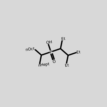 CCCCCCCCC(CCCCCCC)P(=O)(O)C(CC)C(CC)CC